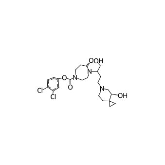 O=C(Oc1ccc(Cl)c(Cl)c1)N1CCC(=O)N(C(CO)CCN2CCC3(CC3)C(O)C2)CC1